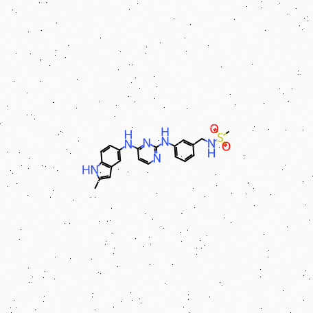 Cc1cc2cc(Nc3ccnc(Nc4cccc(CNS(C)(=O)=O)c4)n3)ccc2[nH]1